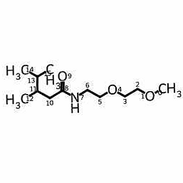 COCCOCCNC(=O)CC(C)C(C)C